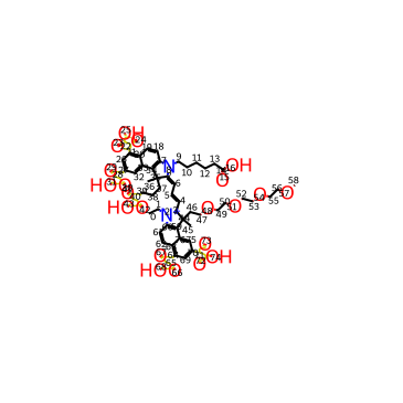 CC[N+]1=C(/C=C/C=C2/N(CCCCCC(=O)O)c3ccc4c(S(=O)(=O)O)cc(S(=O)(=O)O)cc4c3C2(C)CCCS(=O)(=O)O)C(C)(CCOCCOCCOCCOC)c2c1ccc1c(S(=O)(=O)O)cc(S(=O)(=O)O)cc21